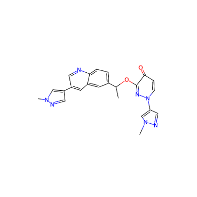 CC(Oc1nn(-c2cnn(C)c2)ccc1=O)c1ccc2ncc(-c3cnn(C)c3)cc2c1